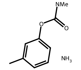 CNC(=O)Oc1cccc(C)c1.N